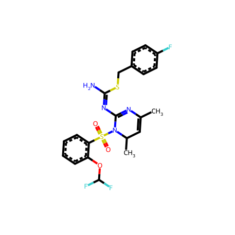 CC1=CC(C)N(S(=O)(=O)c2ccccc2OC(F)F)C(N=C(N)SCc2ccc(F)cc2)=N1